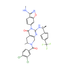 CNc1noc2cc(-n3c(N[C@@H](C)c4ccc(C(F)(F)F)cc4)nc4c(c3=O)CC(C)N(C(=O)c3ccc(Cl)c(Cl)c3)C4)ccc12